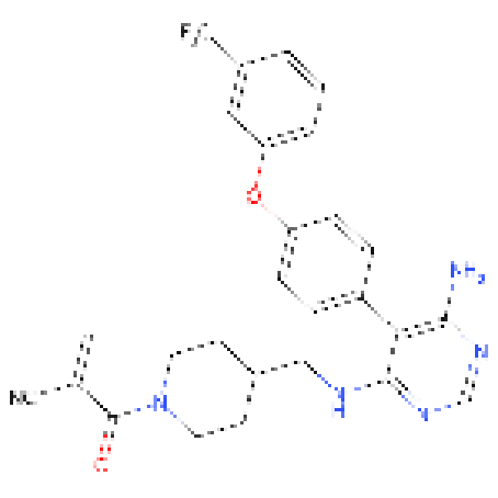 C=C(C#N)C(=O)N1CCC(CNc2ncnc(N)c2-c2ccc(Oc3cccc(C(F)(F)F)c3)cc2)CC1